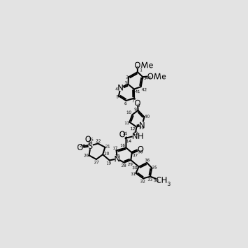 COc1cc2nccc(Oc3ccc(NC(=O)c4cn(CC5CCS(=O)(=O)CC5)cc(-c5ccc(C)cc5)c4=O)nc3)c2cc1OC